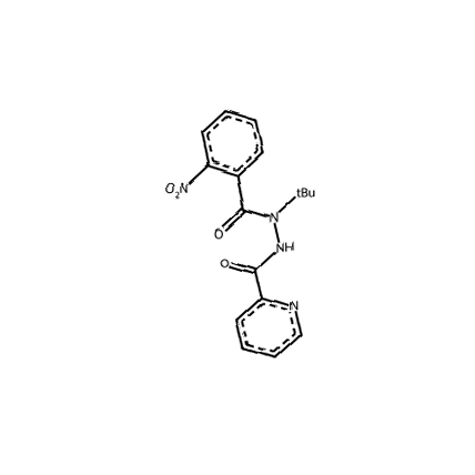 CC(C)(C)N(NC(=O)c1ccccn1)C(=O)c1ccccc1[N+](=O)[O-]